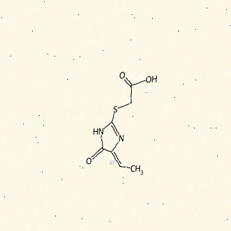 C/C=C1\N=C(SCC(=O)O)NC1=O